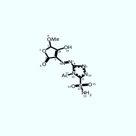 COC1OC(=O)C(N=Nc2nnc(S(N)(=O)=O)n2C(C)=O)=C1O